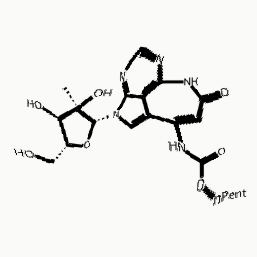 CCCCCOC(=O)NC1=CC(=O)Nc2ncnc3c2c1cn3[C@@H]1O[C@H](CO)[C@@H](O)[C@@]1(C)O